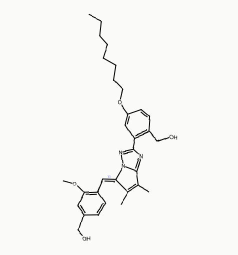 CCCCCCCCOc1ccc(CO)c(-c2nc3c(C)c(C)/c(=C\c4ccc(CO)cc4OC)n3n2)c1